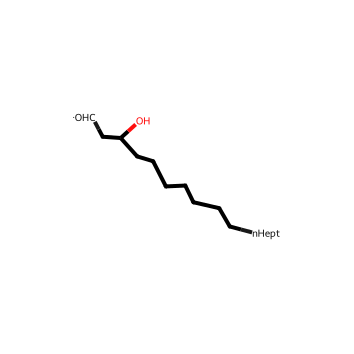 CCCCCCCCCCCCCCC(O)C[C]=O